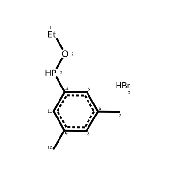 Br.CCOPc1cc(C)cc(C)c1